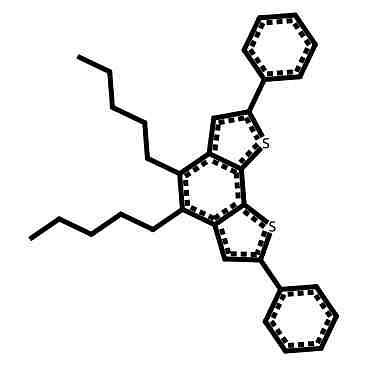 CCCCCc1c(CCCCC)c2cc(-c3ccccc3)sc2c2sc(-c3ccccc3)cc12